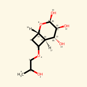 CC(O)COC1C[C@@H]2O[C@@H](O)[C@@H](O)[C@H](O)[C@@H]12